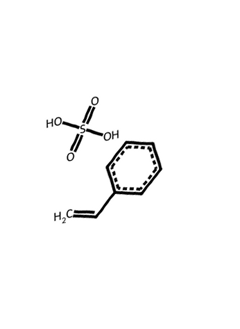 C=Cc1ccccc1.O=S(=O)(O)O